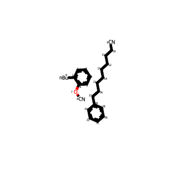 CCCCc1ccccc1OC#N.N#CCCCCCCCCc1ccccc1